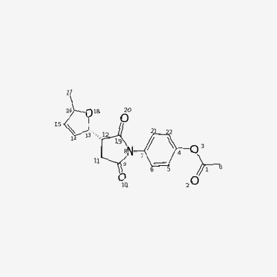 CC(=O)Oc1ccc(N2C(=O)CC([C@@H]3C=CC(C)O3)C2=O)cc1